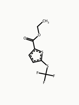 CCOC(=O)c1ccc(SC(F)(F)F)s1